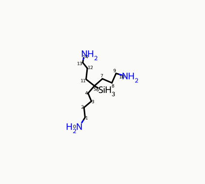 NCCCCC([SiH3])(CCCN)CCCN